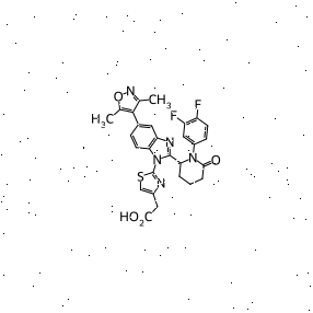 Cc1noc(C)c1-c1ccc2c(c1)nc(C1CCCC(=O)N1c1ccc(F)c(F)c1)n2-c1nc(CC(=O)O)cs1